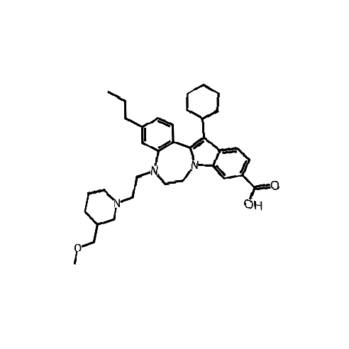 CCCc1ccc2c(c1)N(CCN1CCCC(COC)C1)CCn1c-2c(C2CCCCC2)c2ccc(C(=O)O)cc21